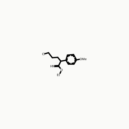 CCOC(=N)C(CCCCl)c1ccc(OC)cc1